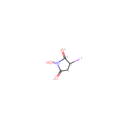 O=C1CC(I)C(=O)N1O